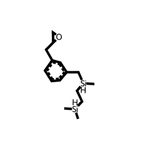 C[SiH](C)CC[SiH](C)Cc1cccc(CC2CO2)c1